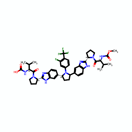 COC(=O)N[C@H](C(=O)N1CCC[C@H]1c1nc2cc(C3CC[C@H](c4ccc5nc([C@@H]6CCCN6C(=O)[C@@H](NC(=O)O)C(C)C)[nH]c5c4)N3c3ccc(C(F)(F)F)c(F)c3)ccc2[nH]1)C(C)C